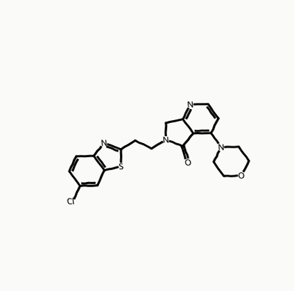 O=C1c2c(N3CCOCC3)ccnc2CN1CCc1nc2ccc(Cl)cc2s1